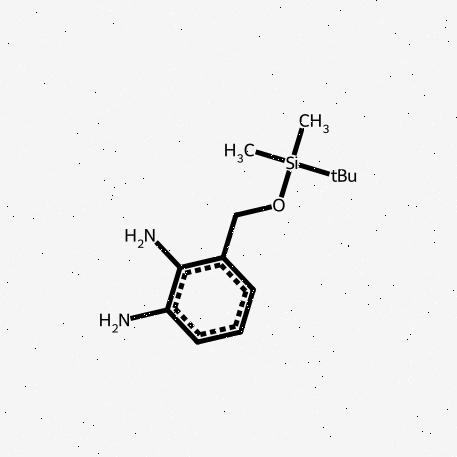 CC(C)(C)[Si](C)(C)OCc1cccc(N)c1N